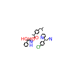 CC(C)Cc1ccc(C(C)C(=O)O)cc1.CN(C)CCC(c1ccc(Cl)cc1)c1ccccn1.CN[C@@H](C)[C@@H](O)c1ccccc1